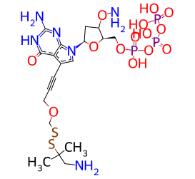 CC(C)(CN)SSCOCC#Cc1cn([C@H]2CC(ON)[C@@H](COP(=O)(O)OP(=O)(O)OP(=O)(O)O)O2)c2nc(N)[nH]c(=O)c12